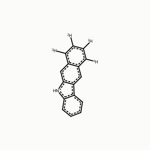 [2H]c1c([2H])c([2H])c2cc3c(cc2c1[2H])[nH]c1ccccc13